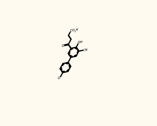 N#Cc1cc(-c2ccc(Cl)cc2)cc(C(=O)CCC(=O)O)c1O